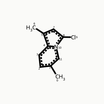 Cc1ccc2c(C)cc(Cl)n2c1